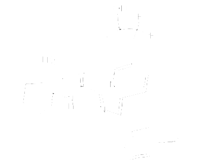 O=C(NC1(CO)CCCCC1)c1nc(-c2cccc(Cl)c2)c2ccccn12.O=C(O)C(F)(F)F